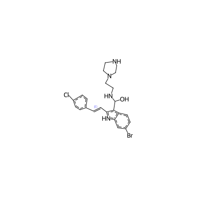 OC(NCCN1CCNCC1)c1c(/C=C/c2ccc(Cl)cc2)[nH]c2cc(Br)ccc12